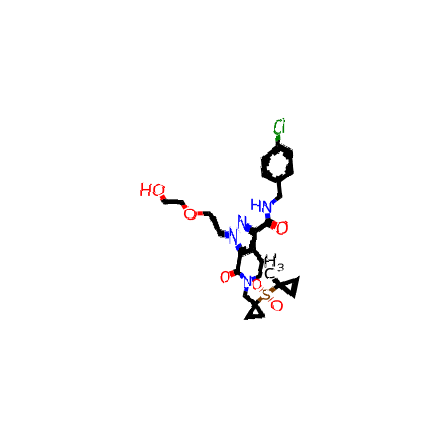 CC1(S(=O)(=O)C2(CN3CCc4c(C(=O)NCc5ccc(Cl)cc5)nn(CCOCCO)c4C3=O)CC2)CC1